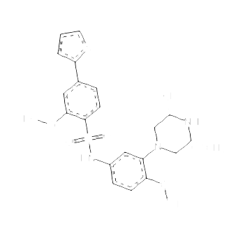 COc1ccc(NS(=O)(=O)c2ccc(-c3cccs3)cc2OC)cc1N1C[C@@H](C)N[C@@H](C)C1